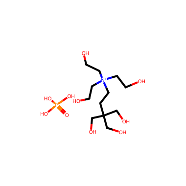 O=P(O)(O)O.OCC[N+](CCO)(CCO)CCC(CO)(CO)CO